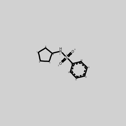 O=S(=O)(NC1C[CH]CC1)c1ccccc1